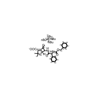 CC1(C)S[C@@H]2[C@H](NC(=O)C(NC(=O)OCc3ccccc3)c3ccccc3)C(=O)N2[C@H]1C(=O)[O-].CCCC[N+](CCCC)(CCCC)CCCC